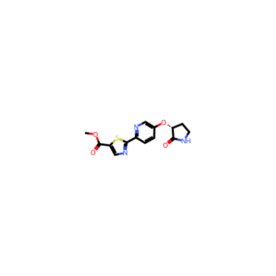 COC(=O)c1cnc(-c2ccc(O[C@@H]3CCNC3=O)cn2)s1